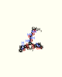 CCC(=O)C(C)CNCC(=O)NCC(=O)NCC(=O)Nc1cc(COc2cc3c(cc2OC)C(O)N2c4ccccc4C[C@H]2C=N3)cc(COc2cc3c(cc2OC)C(=O)N2c4ccccc4C[C@H]2CN3)c1